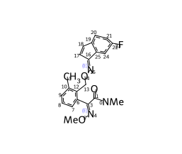 CNC(=O)/C(=N/OC)c1cccc(C)c1CO/N=C1\C=Cc2ccc(F)cc21